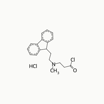 CN(CCC(=O)Cl)CCC1c2ccccc2-c2ccccc21.Cl